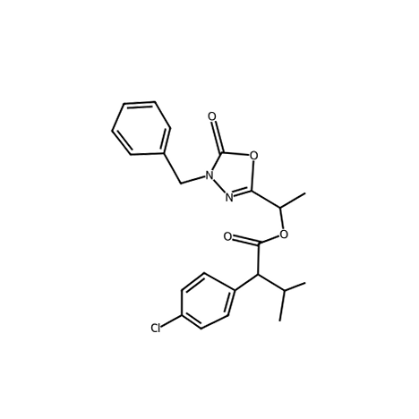 CC(OC(=O)C(c1ccc(Cl)cc1)C(C)C)c1nn(Cc2ccccc2)c(=O)o1